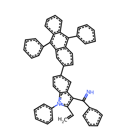 C=Cc1c(C(=N)c2ccccc2)c2cc(-c3ccc4c(-c5ccccc5)c5ccccc5c(-c5ccccc5)c4c3)ccc2n1-c1ccccc1